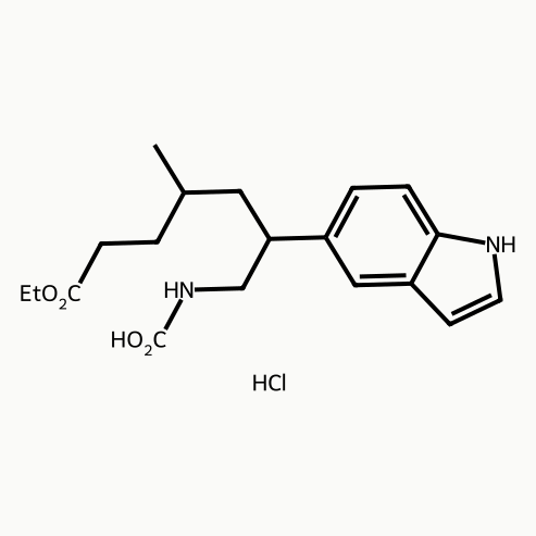 CCOC(=O)CCC(C)CC(CNC(=O)O)c1ccc2[nH]ccc2c1.Cl